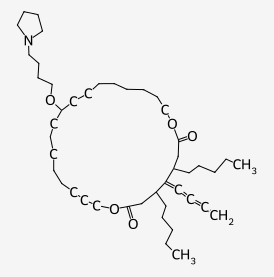 C=C=C=C=C1C(CCCCC)CC(=O)OCCCCCCCCC(OCCCCN2CCCC2)CCCCCCCCOC(=O)CC1CCCCC